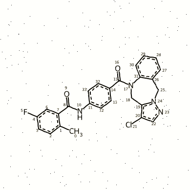 Cc1ccc(F)cc1C(=O)Nc1ccc(C(=O)N2Cc3c(Cl)cnn3Cc3ccccc32)cc1